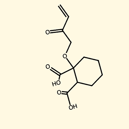 C=CC(=O)COC1(C(=O)O)CCCCC1C(=O)O